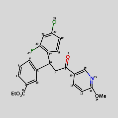 CCOC(=O)c1cccc(C(CC(=O)c2ccc(OC)nc2)c2ccc(Cl)cc2F)c1